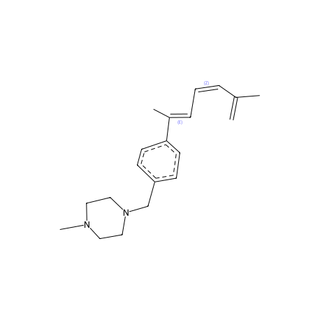 C=C(C)/C=C\C=C(/C)c1ccc(CN2CCN(C)CC2)cc1